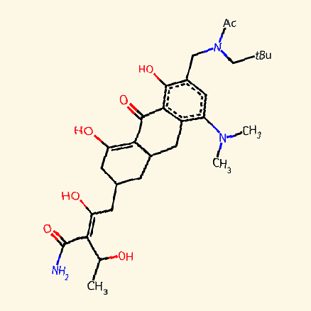 CC(=O)N(Cc1cc(N(C)C)c2c(c1O)C(=O)C1=C(O)CC(C/C(O)=C(/C(N)=O)C(C)O)CC1C2)CC(C)(C)C